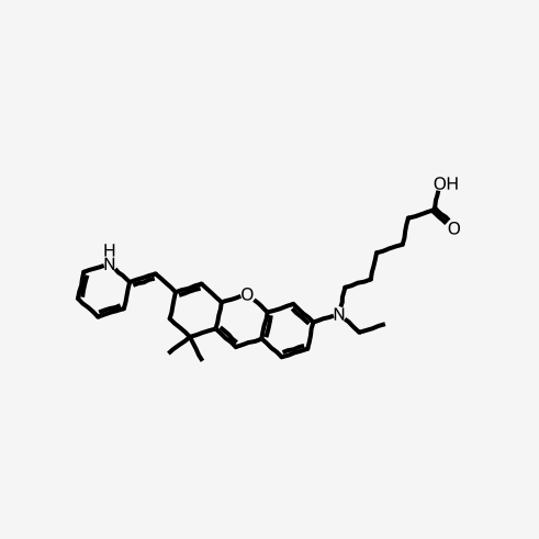 CCN(CCCCCC(=O)O)c1ccc2c(c1)OC1C=C(/C=C3\C=CC=CN3)CC(C)(C)C1=C2